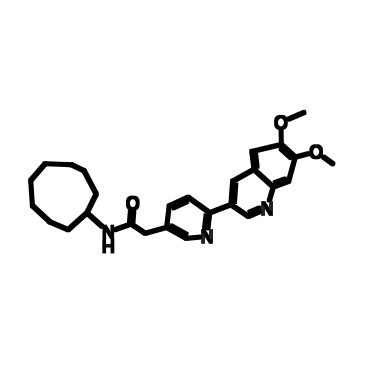 COc1cc2cc(-c3ccc(CC(=O)NC4CCCCCCCC4)cn3)cnc2cc1OC